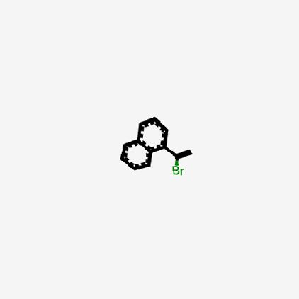 C=C(Br)c1cccc2ccccc12